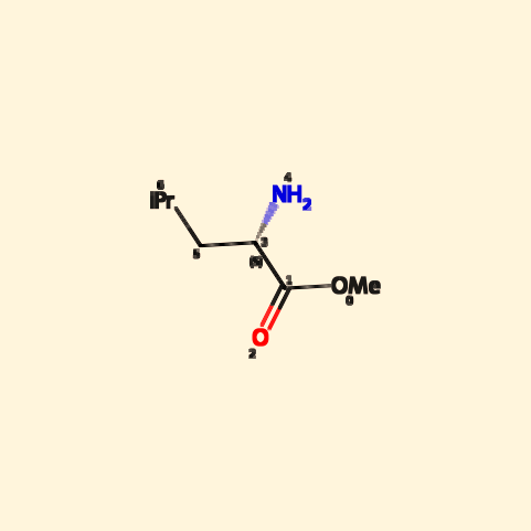 [CH2]OC(=O)[C@@H](N)CC(C)C